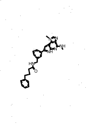 CNc1nc2[nH]c(-c3cccc(CNC(=O)CCCc4ccccc4)c3)cc2c2c1ncn2C